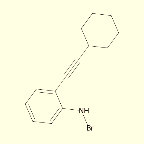 BrNc1ccccc1C#CC1CCCCC1